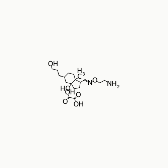 C[C@]12CC[C@H](CCCO)C[C@@]1(O)CC[C@@H]2C=NOCCN.O=C(O)C(=O)O